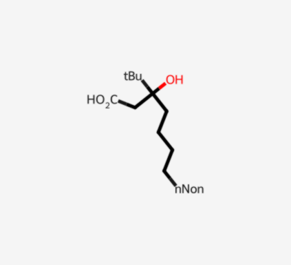 CCCCCCCCCCCCCC(O)(CC(=O)O)C(C)(C)C